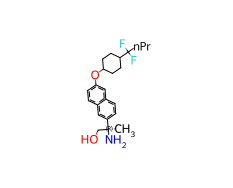 CCCC(F)(F)C1CCC(Oc2ccc3cc([C@@](C)(N)CO)ccc3c2)CC1